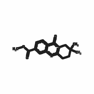 COC(=O)c1ccc2c(=O)n3c(nc2c1)CCC(C)(C)C3